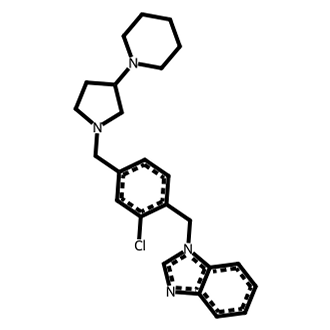 Clc1cc(CN2CCC(N3CCCCC3)C2)ccc1Cn1cnc2ccccc21